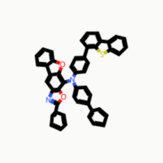 c1ccc(-c2ccc(N(c3ccc(-c4cccc5c4sc4ccccc45)cc3)c3c4oc(-c5ccccc5)nc4cc4c3oc3ccccc34)cc2)cc1